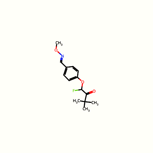 CON=Cc1ccc(OC(F)C(=O)C(C)(C)C)cc1